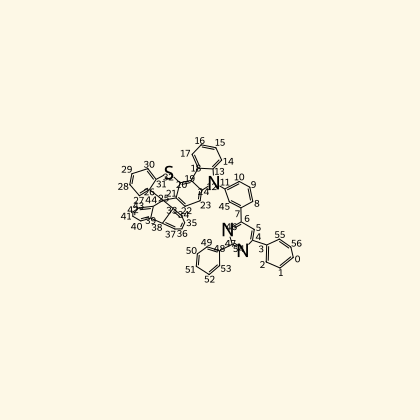 c1ccc(-c2cc(-c3cccc(-n4c5ccccc5c5c6c(ccc54)C4(c5ccccc5S6)c5ccccc5-c5ccccc54)c3)nc(-c3ccccc3)n2)cc1